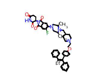 CCC(=C(c1ccccc1)c1ccc(OCCN2CCC(CN3C(C)CN(c4cc5c(cc4F)C(=O)N(C4CCC(=O)NC4=O)C5=O)CC3C)CC2)cc1)c1ccccc1